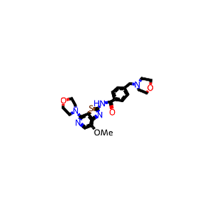 COc1cnc(N2CCOCC2)c2sc(NC(=O)c3ccc(CN4CCOCC4)cc3)nc12